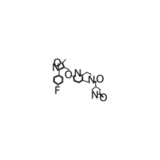 Cc1onc(-c2ccc(F)cc2)c1COc1ccc2c(n1)CCN(C(=O)C1CC(=O)N(C)C1)C2